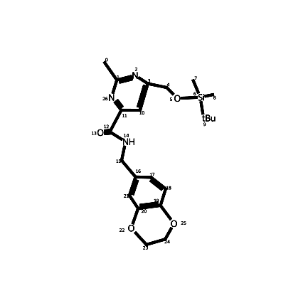 Cc1nc(CO[Si](C)(C)C(C)(C)C)cc(C(=O)NCc2ccc3c(c2)OCCO3)n1